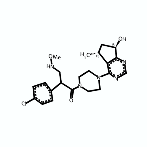 CONCC(C(=O)N1CCN(c2ncnc3c2[C@H](C)C[C@H]3O)CC1)c1ccc(Cl)cc1